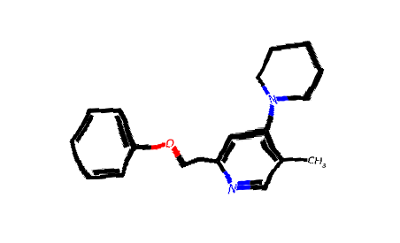 Cc1cnc(COc2ccccc2)cc1N1CCCCC1